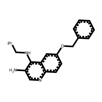 CC(C)CNc1c(N)cnc2ccc(OCc3ccccc3)cc12